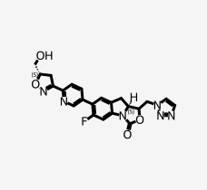 O=C1OC(Cn2ccnn2)[C@@H]2Cc3cc(-c4ccc(C5=NO[C@H](CO)C5)nc4)c(F)cc3N12